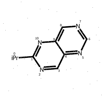 CC(C)c1ncc2ncncc2n1